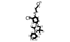 COCCCSc1ccc(N2CC(C)(C)N(c3ccncc3)C2C)cc1Cl